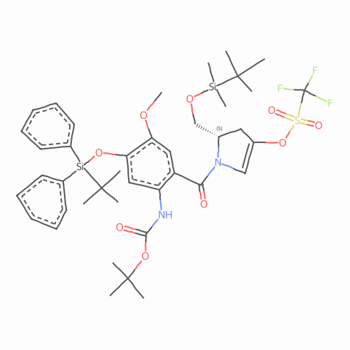 COc1cc(C(=O)N2C=C(OS(=O)(=O)C(F)(F)F)C[C@H]2CO[Si](C)(C)C(C)(C)C)c(NC(=O)OC(C)(C)C)cc1O[Si](c1ccccc1)(c1ccccc1)C(C)(C)C